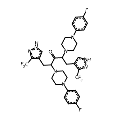 O=C(C(Cc1c[nH]nc1C(F)(F)F)N1CCN(c2ccc(F)cc2)CC1)C(Cc1c[nH]nc1C(F)(F)F)N1CCN(c2ccc(F)cc2)CC1